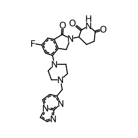 O=C1CCC(N2Cc3c(cc(F)cc3N3CCN(Cc4ccn5ccnc5n4)CC3)C2=O)C(=O)N1